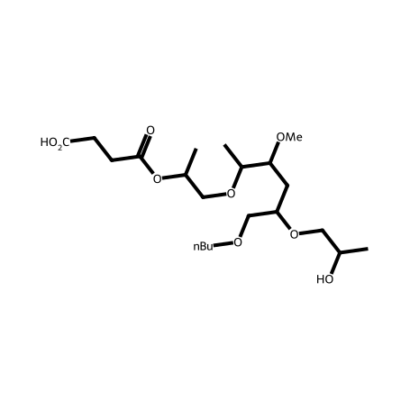 CCCCOCC(CC(OC)C(C)OCC(C)OC(=O)CCC(=O)O)OCC(C)O